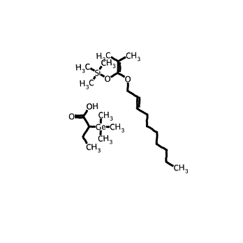 CCCCCCCC=CCOC(O[Si](C)(C)C)=C(C)C.CC[CH](C(=O)O)[Ge]([CH3])([CH3])[CH3]